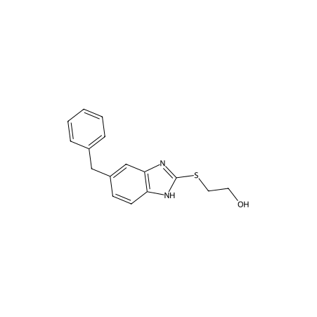 OCCSc1nc2cc(Cc3ccccc3)ccc2[nH]1